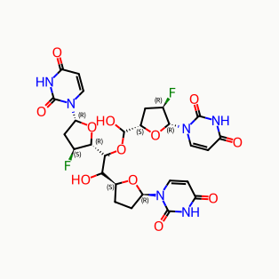 O=c1ccn([C@@H]2O[C@H](C(O)O[C](C(O)[C@@H]3CC[C@H](n4ccc(=O)[nH]c4=O)O3)[C@H]3O[C@@H](n4ccc(=O)[nH]c4=O)C[C@@H]3F)C[C@H]2F)c(=O)[nH]1